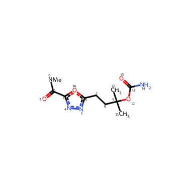 CNC(=O)c1nnc(CCC(C)(C)OC(N)=O)o1